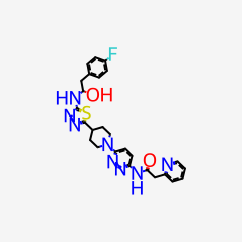 O=C(Cc1ccccn1)Nc1ccc(N2CCC(c3nnc(NC(O)Cc4ccc(F)cc4)s3)CC2)nn1